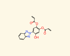 C=CC(=O)Oc1cc(O)c(-n2nc3ccccc3n2)cc1OC(=O)C=C